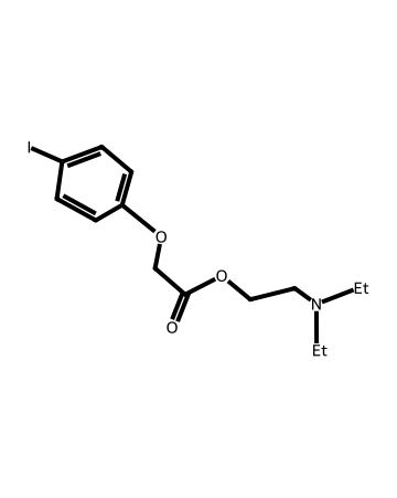 CCN(CC)CCOC(=O)COc1ccc(I)cc1